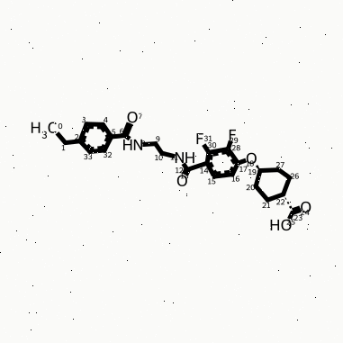 CCc1ccc(C(=O)NCCNC(=O)c2ccc(O[C@H]3CC[C@@H](C(=O)O)CC3)c(F)c2F)cc1